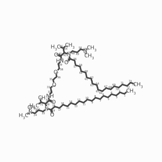 CCCCCCCCCCCCCCCCCCCC(=O)N(CCCN(C)C)C(C(=O)NCCOCCOCCNC(=O)C(C(C)C)N(CCCN(C)C)C(=O)CCCCCCCCCCCCCCCCCCC)C(C)C